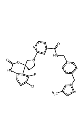 Cc1cnn(Cc2ccc(CNC(=O)c3ccnc(N4CC[C@]5(C4)OC(=O)Nc4ccc(Cl)c(F)c45)c3)cc2)c1